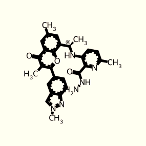 Cc1cc([C@@H](C)Nc2ccc(C)nc2C(=O)NN)c2oc(-c3ccc4nn(C)cc4c3)c(C)c(=O)c2c1